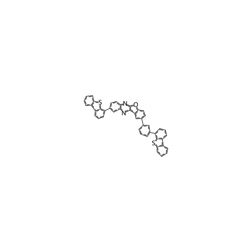 c1cc(-c2ccc3oc4nc5ccc(-c6cccc7c6sc6ccccc67)cc5nc4c3c2)cc(-c2cccc3c2sc2ccccc23)c1